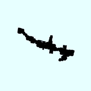 C=CC(=O)OCCCCCCOc1ccc2cc(CCC(=O)Oc3ccc(C(F)(F)Oc4ccc(OCCCCC)c5c4S/C(=C(\C#N)C(=O)OCCCCOC(=O)/C(C#N)=C4/Sc6c(OC(=O)C=C)ccc(C7CCC(CCC)CC7)c6S4)S5)c(F)c3F)ccc2c1